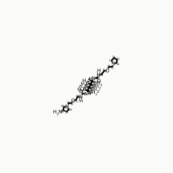 BC(B)(NC(=O)NCCOCCN1CCCC1)C(B)(B)C(B)(B)C(B)(B)NC(=O)NCCOCCN1CC[C@H](N)C1